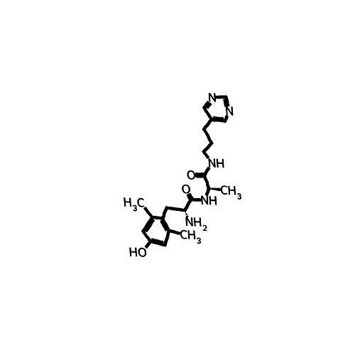 Cc1cc(O)cc(C)c1C[C@@H](N)C(=O)N[C@H](C)C(=O)NCCCc1cncnc1